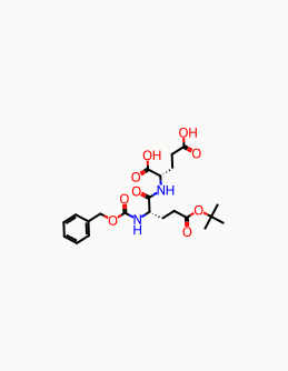 CC(C)(C)OC(=O)CC[C@H](NC(=O)OCc1ccccc1)C(=O)N[C@@H](CCC(=O)O)C(=O)O